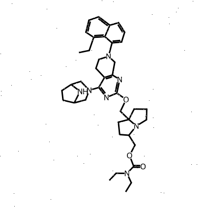 CCc1cccc2cccc(N3CCc4c(nc(OCC56CCCN5C(COC(=O)N(CC)CC)CC6)nc4N4CC5CCC(C4)N5)C3)c12